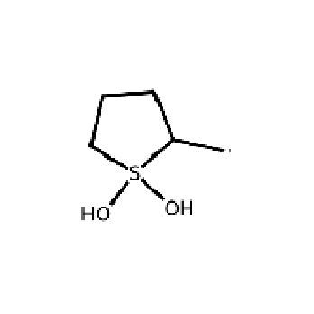 [CH2]C1CCCS1(O)O